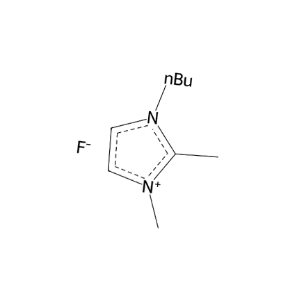 CCCCn1cc[n+](C)c1C.[F-]